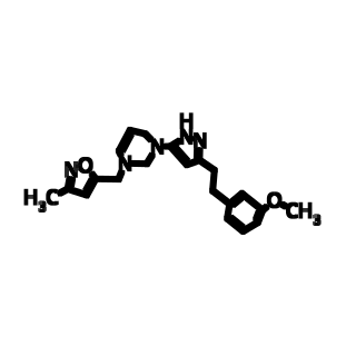 COc1cccc(CCc2cc(N3CC=CN(Cc4cc(C)no4)C3)[nH]n2)c1